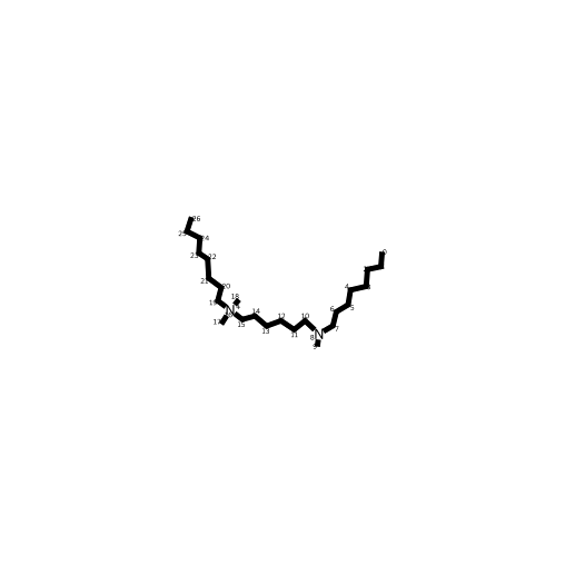 CCCCCCCCN(C)CCCCCC[N+](C)(C)CCCCCCCC